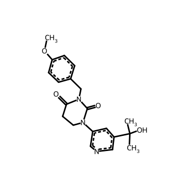 COc1ccc(CN2C(=O)CCN(c3cncc(C(C)(C)O)c3)C2=O)cc1